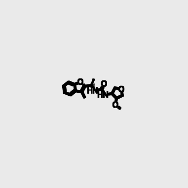 COC1COCC1NC(=O)N[C@H](C)c1oc2ccccc2c1C